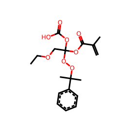 C=C(C)C(=O)OC(COCC)(OOC(C)(C)c1ccccc1)OC(=O)O